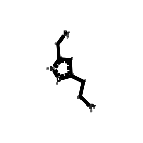 CC(C)CCc1cc(CBr)no1